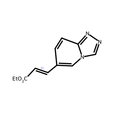 CCOC(=O)/C=C/c1ccc2nncn2c1